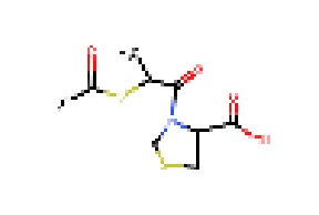 CC(=O)SC(C)C(=O)N1CSCC1C(=O)O